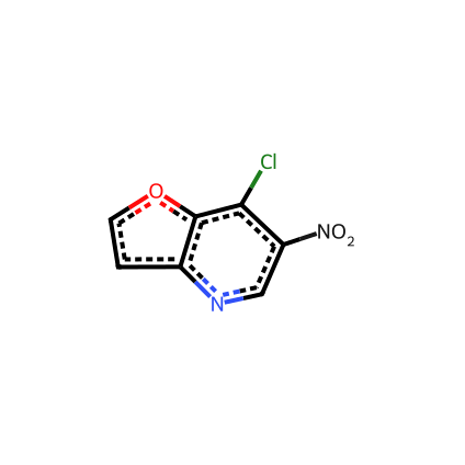 O=[N+]([O-])c1cnc2ccoc2c1Cl